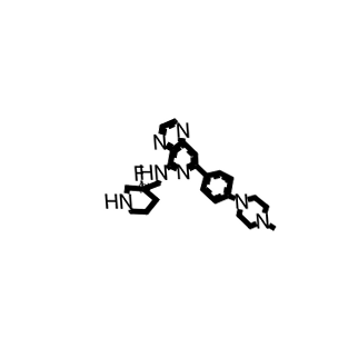 CN1CCN(c2ccc(-c3cc4nccnc4c(NC[C@@]4(F)CCCNC4)n3)cc2)CC1